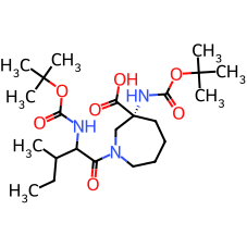 CCC(C)C(NC(=O)OC(C)(C)C)C(=O)N1CCCC[C@](NC(=O)OC(C)(C)C)(C(=O)O)C1